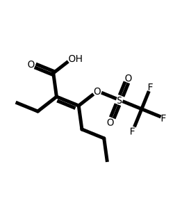 CCC/C(OS(=O)(=O)C(F)(F)F)=C(\CC)C(=O)O